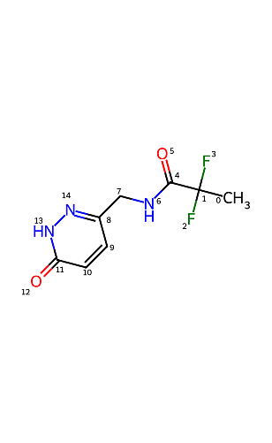 CC(F)(F)C(=O)NCc1ccc(=O)[nH]n1